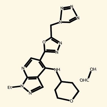 CCn1ncc2c(NC3CCOCC3)c(-c3nnc(Cn4cnnn4)o3)cnc21.O=CO